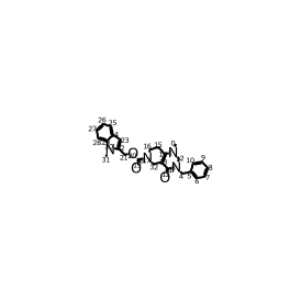 CN1CN(Cc2ccccc2)C(=O)C2=C1CCN(C(=O)OCc1cc3ccccc3n1C)C2